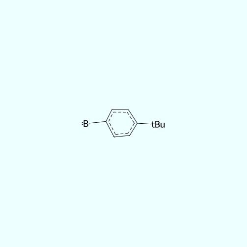 [B]c1ccc(C(C)(C)C)cc1